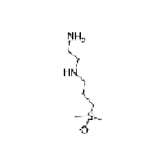 C[Si](C)([O])CCCNCCN